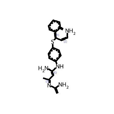 C=C(N)/N=C(C)\C=C(/N)Nc1ccc(SC(/C=C\N)=c2\ccccc2=C)cc1